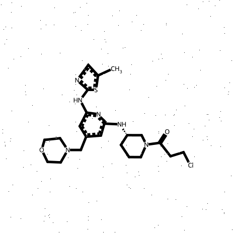 Cc1cnc(Nc2cc(CN3CCOCC3)cc(N[C@H]3CCCN(C(=O)CCCl)C3)n2)s1